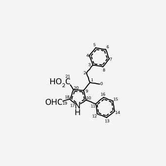 CC(Cc1ccccc1)c1c(-c2ccccc2)[nH]c(C=O)c1C(=O)O